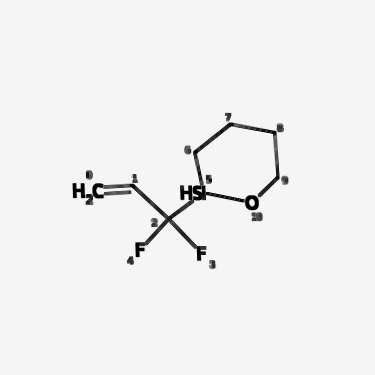 C=CC(F)(F)[SiH]1CCCCO1